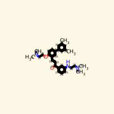 Cc1cc(C)cc(-c2ccc(OCCN(C)C)c(C=CC(=O)c3cccc(NCCN(C)C)c3)c2)c1